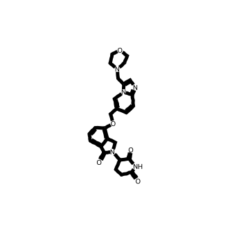 O=C1CCC(N2Cc3c(OCc4ccc5ncc(CN6CCOCC6)n5c4)cccc3C2=O)C(=O)N1